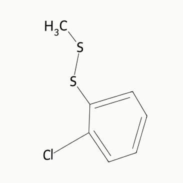 CSSc1ccccc1Cl